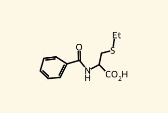 CCSCC(NC(=O)c1ccccc1)C(=O)O